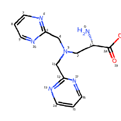 N[C@@H](CN(Cc1ncccn1)Cc1ncccn1)C(=O)O